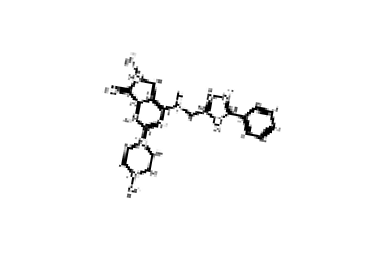 CC(=O)N1CCN(c2nc(NCc3nnc(-c4ccccc4)o3)c3c(n2)C(=O)N(C(C)C)C3)CC1